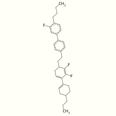 CCCCc1ccc(-c2ccc(CCC3CC=C(C4=CCC(CCC)CC4)C(F)=C3F)cc2)cc1F